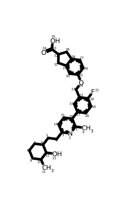 Cc1nc(CCC2CCCC(C)C2O)ccc1-c1ccc(F)c(COc2ccc3c(c2)CC(C(=O)O)C3)c1